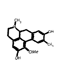 COc1c(O)cc2c3c1-c1cc(C)c(O)cc1CC3N(C)CC2